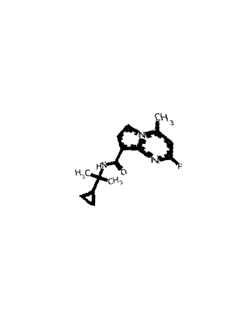 Cc1cc(F)nc2c(C(=O)NC(C)(C)C3CC3)ccn12